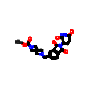 CC(C)(C)OC(=O)N1CC2(CN(Cc3ccc4c(c3)C(=O)N(C3CCC(=O)NC3=O)C4=O)C2)C1